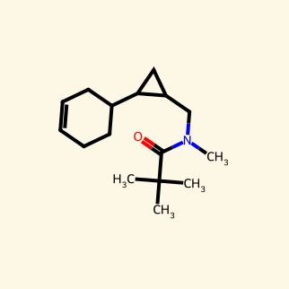 CN(CC1CC1C1CC=CCC1)C(=O)C(C)(C)C